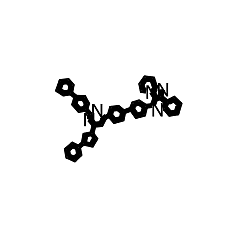 C1=CC(c2cc(-c3ccc(-c4ccc(-c5nc6ccccc6c6nc7ccccn7c56)cc4)cc3)nc(-c3ccc(-c4ccccc4)cc3)n2)C=C1c1ccccc1